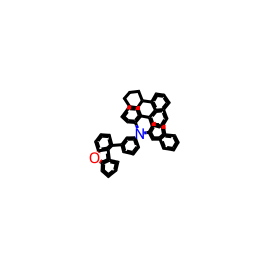 c1cc(-c2cccc3oc4ccccc4c23)cc(N(c2ccc3ccccc3c2)c2ccccc2-c2cccc3cccc(C4CCCCC4)c23)c1